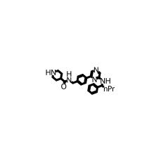 CCCC(Nc1cncc(-c2ccc(CNC(=O)C3CCNCC3)cc2)n1)c1ccccc1